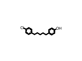 Oc1ccc(CCCCCc2ccc(Cl)cc2)cc1